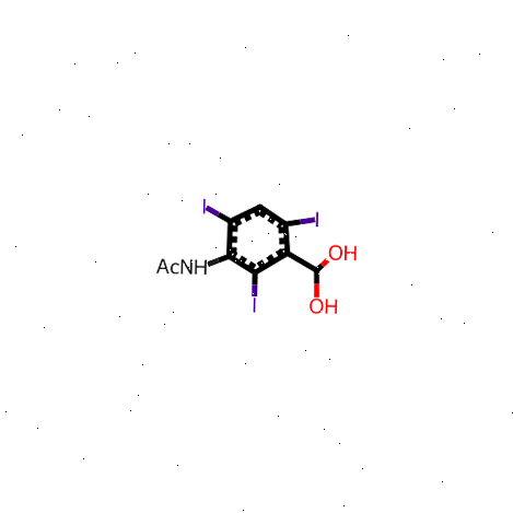 CC(=O)Nc1c(I)cc(I)c(C(O)O)c1I